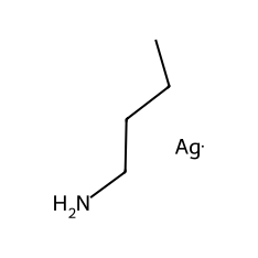 CCCCN.[Ag]